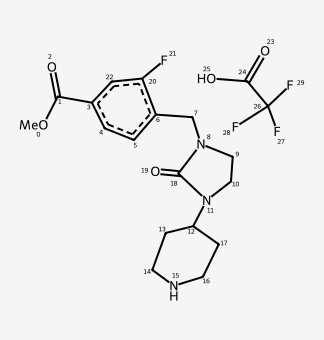 COC(=O)c1ccc(CN2CCN(C3CCNCC3)C2=O)c(F)c1.O=C(O)C(F)(F)F